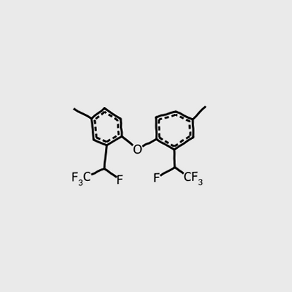 Cc1ccc(Oc2ccc(C)cc2C(F)C(F)(F)F)c(C(F)C(F)(F)F)c1